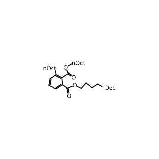 CCCCCCCCCCCCCCOC(=O)c1cccc(CCCCCCCC)c1C(=O)OCCCCCCCC